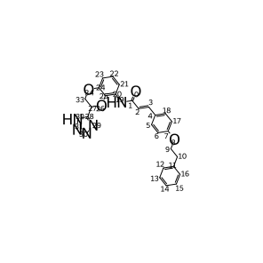 O=C(/C=C/c1ccc(OCCc2ccccc2)cc1)Nc1cccc2c1OC(c1nnn[nH]1)CO2